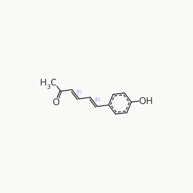 CC(=O)/C=C/C=C/c1ccc(O)cc1